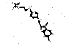 CCN(CCOS(=O)(=O)[O-])c1ccc(N=Nc2sc3cc(C)ccc3[n+]2C)cc1